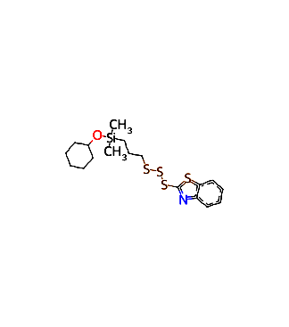 C[Si](C)(CCCSSSc1nc2ccccc2s1)OC1CCCCC1